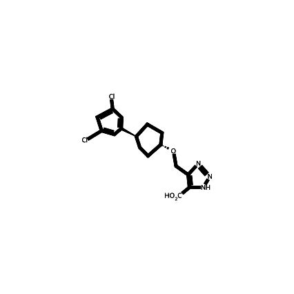 O=C(O)c1[nH]nnc1CO[C@H]1CC[C@H](c2cc(Cl)cc(Cl)c2)CC1